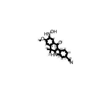 COc1cc2c(cc1NO)C(=O)c1c([nH]c3cc(C#N)ccc13)C2(C)C